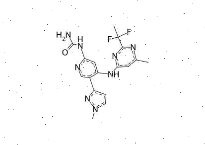 Cc1cc(Nc2cc(NC(N)=O)ncc2-c2ccn(C)n2)nc(C(C)(F)F)n1